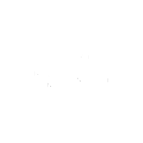 CC1CC(C)CN(Cc2ccc(C(C)(C)C)nc2)C1